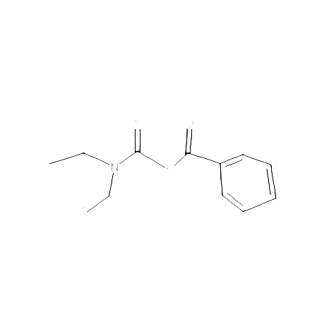 CCN(CC)C(=S)SC(=O)c1ccccc1